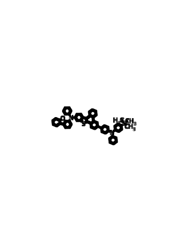 C[Si](C)(C)c1ccc(N(c2ccccc2)c2ccc(-c3ccc4c(c3)c3ccccc3c3c5ccc(N(c6ccccc6)c6cccc7c6oc6ccccc67)cc5sc43)cc2)cc1